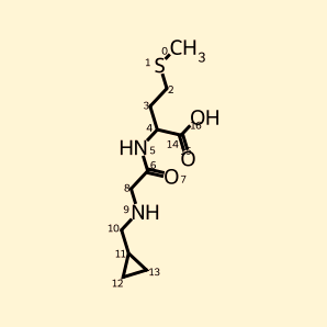 CSCCC(NC(=O)CNCC1CC1)C(=O)O